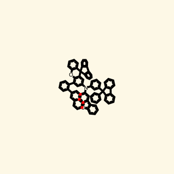 c1ccc(C2(c3cccc(N(c4cc(-c5ccccc5-c5ccc6ccccc6c5)c5c(c4)C4(c6ccccc6O5)c5ccccc5-c5ccccc54)c4ccc5oc6ccccc6c5c4)c3)c3ccccc3-c3ccccc32)cc1